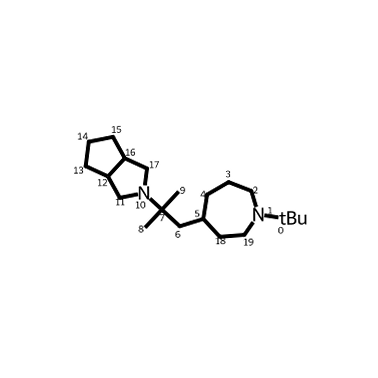 CC(C)(C)N1CCCC(CC(C)(C)N2CC3CCCC3C2)CC1